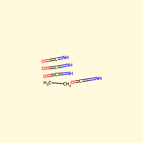 CC.N=C=O.N=C=O.N=C=O.N=C=O